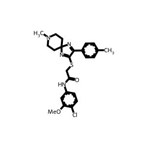 COc1cc(NC(=O)CSC2=NC3(CCN(C)CC3)N=C2c2ccc(C)cc2)ccc1Cl